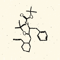 C=CC1CCCCC1CC1OC(C)(C)N(C(=O)OC(C)(C)C)C1Cc1ccccc1